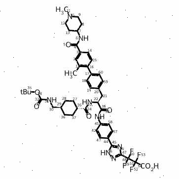 Cc1cc(C(=O)NC2CCN(C)CC2)ccc1-c1ccc(C[C@H](NC(=O)[C@H]2CC[C@H](CNC(=O)OC(C)(C)C)CC2)C(=O)Nc2ccc(-c3nc(C(F)(F)C(F)(F)C(=O)O)n[nH]3)cc2)cc1